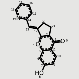 O=c1c2c(oc3cc(O)ccc13)C(=Cc1ccccn1)CC2